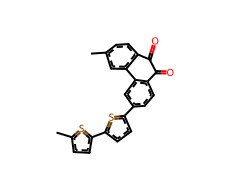 Cc1ccc2c(c1)-c1cc(-c3ccc(-c4ccc(C)s4)s3)ccc1C(=O)C2=O